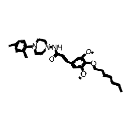 CCCCCCCOc1c(OC)cc(/C=C/C(=O)NN2CCN(c3ccc(C)cc3C)CC2)cc1OC